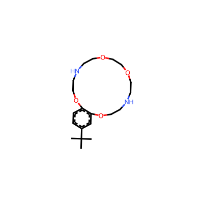 CC(C)(C)c1ccc2c(c1)OCCNCCOCCOCCNCCO2